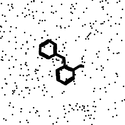 CC(C)(C)c1[c]cccc1Cc1ccccc1